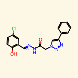 O=C(Cn1cc(-c2ccccc2)nn1)N/N=C/c1cc(Cl)ccc1O